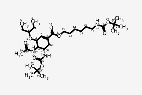 CCC(CC)OC1C=C(C(=O)OCCCCCCNC(=O)OC(C)(C)C)C[C@H](NC(=O)OC(C)(C)C)C1NC(C)=O